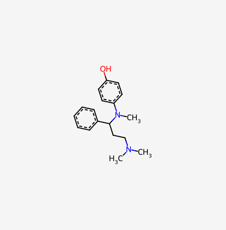 CN(C)CCC(c1ccccc1)N(C)c1ccc(O)cc1